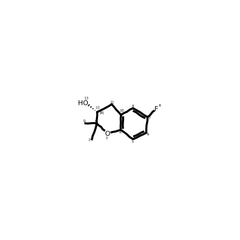 CC1(C)Oc2ccc(F)cc2C[C@H]1O